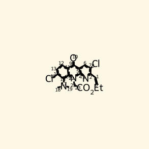 C=Cc1nc2c(cc1Cl)c(=O)c1ccc(Cl)c(N(C)C)c1n2CC(=O)OCC